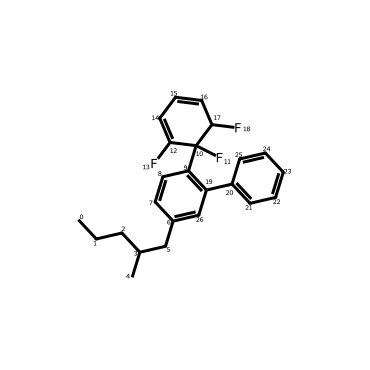 CCCC(C)Cc1ccc(C2(F)C(F)=CC=CC2F)c(-c2ccccc2)c1